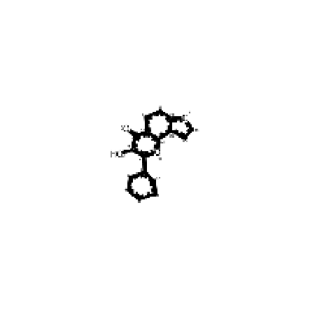 O=c1c(O)c(-c2ccccc2)oc2c1ccc1occc12